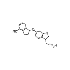 N#Cc1cccc2c1CCC2Oc1ccc2c(c1)OCC2CC(=O)O